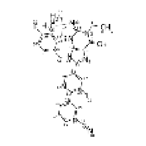 CCN1C(=O)c2nc(-c3cnc(-c4cccc(C#N)c4)c(F)c3)n(Cc3ccc(F)cc3)c2N2CC(C)(C)N=C12